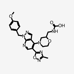 COc1ccc(Cn2ncc3c(N4CCOC(CNC(=O)O)C4)c(-c4nc(C)no4)cnc32)cc1